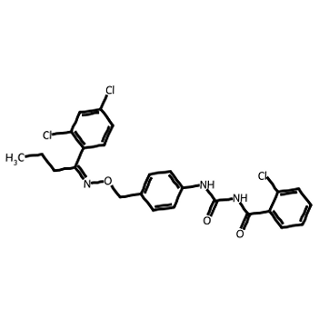 CCCC(=NOCc1ccc(NC(=O)NC(=O)c2ccccc2Cl)cc1)c1ccc(Cl)cc1Cl